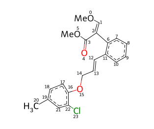 COC=C(C(=O)OC)c1ccccc1C=CCOc1ccc(C)cc1Cl